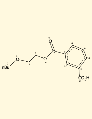 CCCCOCCOC(=O)c1cccc(C(=O)O)c1